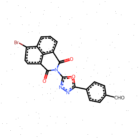 O=Cc1ccc(-c2nnc(N3C(=O)c4cccc5c(Br)ccc(c45)C3=O)o2)cc1